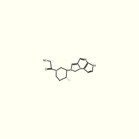 C[C@@H]1CCN(C(=O)CC#N)CC1N1C=C2C=Nc3[nH]ccc3N2C1